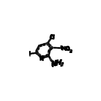 Nc1nc(I)cc(Cl)c1[N+](=O)[O-]